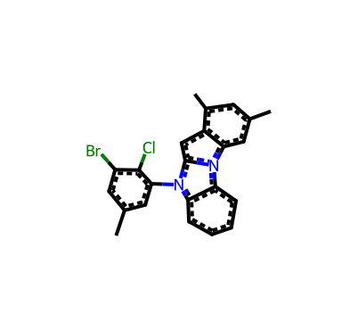 Cc1cc(Br)c(Cl)c(-n2c3ccccc3n3c4cc(C)cc(C)c4cc23)c1